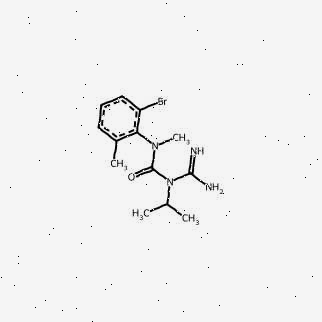 Cc1cccc(Br)c1N(C)C(=O)N(C(=N)N)C(C)C